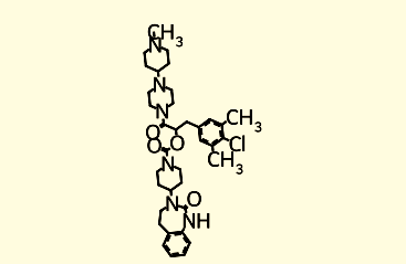 Cc1cc(CC(OC(=O)N2CCC(N3CCc4ccccc4NC3=O)CC2)C(=O)N2CCN(C3CCN(C)CC3)CC2)cc(C)c1Cl